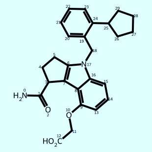 NC(=O)C1CCc2c1c1c(OCC(=O)O)cccc1n2Cc1ccccc1C1CCCC1